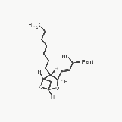 CCCCC[C@H](O)/C=C/[C@H]1O[C@H]2C[C@H](O2)[C@@H]1CCCCCCC(=O)O